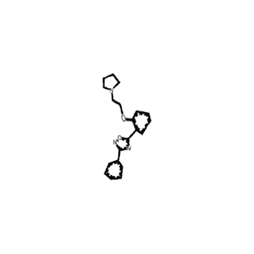 c1ccc(-c2noc(-c3ccccc3OCCN3CCCC3)n2)cc1